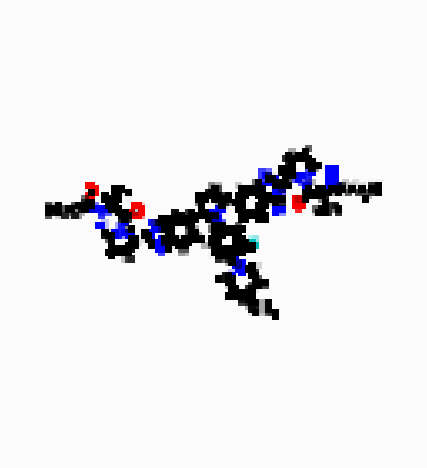 COC(=O)N[C@H](C(=O)N1CCC[C@H]1C1N=c2ccc([C@H]3CC[C@H](c4ccc5[nH]c([C@@H]6CCCN6C(=O)[C@@H](NC(=O)O)C(C)C)nc5c4)N3c3ccc(N4CCC(C)CC4)c(F)c3)cc2=N1)C(C)C